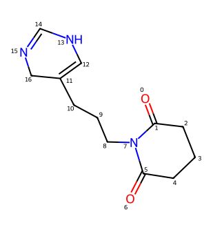 O=C1CCCC(=O)N1CCCC1=CNC=NC1